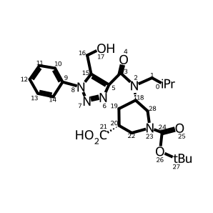 CC(C)CN(C(=O)c1nnn(-c2ccccc2)c1CO)[C@H]1C[C@@H](C(=O)O)CN(C(=O)OC(C)(C)C)C1